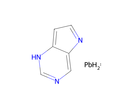 [PbH2].c1cc2[nH]cncc-2n1